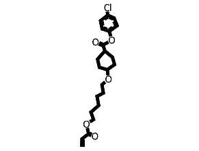 C=CC(=O)OCCCCCCOC1CCC(C(=O)Oc2ccc(Cl)cc2)CC1